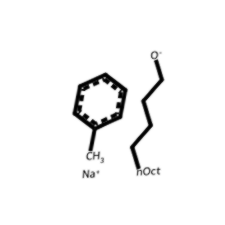 CCCCCCCCCCCC[O-].Cc1ccccc1.[Na+]